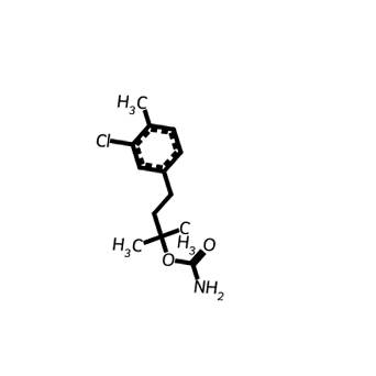 Cc1ccc(CCC(C)(C)OC(N)=O)cc1Cl